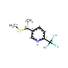 CS[C@H](C)c1ccc(C(F)(F)F)nc1